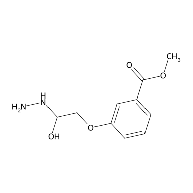 COC(=O)c1cccc(OCC(O)NN)c1